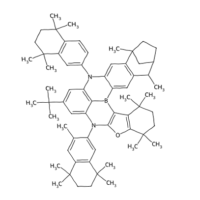 Cc1cc2c(cc1N1c3cc(C(C)(C)C)cc4c3B(c3cc5c(cc3N4c3ccc4c(c3)C(C)(C)CCC4(C)C)C3(C)CCC(C3)C5C)c3c1oc1c3C(C)(C)CCC1(C)C)C(C)(C)CCC2(C)C